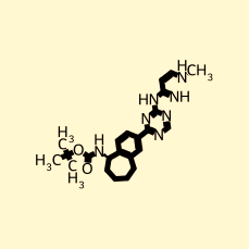 CN/C=C\C(=N)Nc1ncnc(-c2ccc3c(c2)CCCC[C@H]3NC(=O)OC(C)(C)C)n1